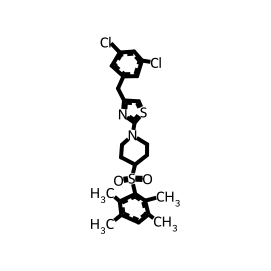 Cc1cc(C)c(C)c(S(=O)(=O)C2CCN(c3nc(Cc4cc(Cl)cc(Cl)c4)cs3)CC2)c1C